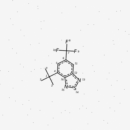 CC(C)(C)c1cc(C(F)(F)F)cc2nsnc12